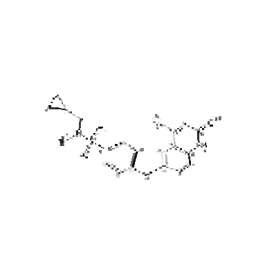 CCCN(CC1CC1)S(=O)(=O)c1ccc(Cc2ccc3[nH]c(=O)cc(C(F)(F)F)c3c2)cc1